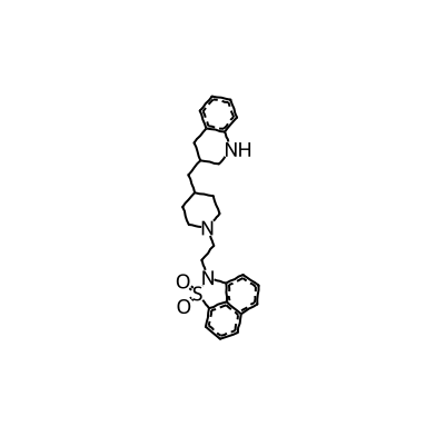 O=S1(=O)c2cccc3cccc(c23)N1CCN1CCC(CC2CNc3ccccc3C2)CC1